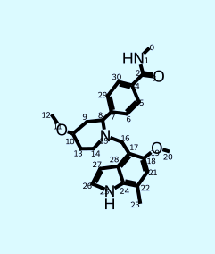 CNC(=O)c1ccc(C2CC(OC)CCN2Cc2c(OC)cc(C)c3[nH]ccc23)cc1